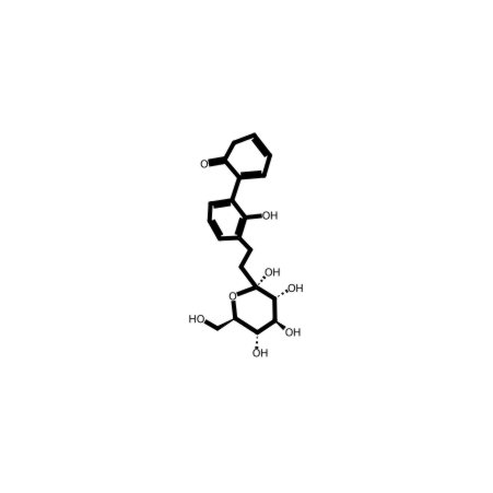 O=C1CC=CC=C1c1cccc(CC[C@]2(O)O[C@H](CO)[C@@H](O)[C@H](O)[C@H]2O)c1O